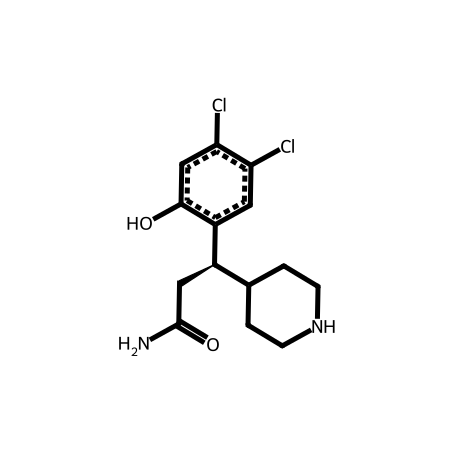 NC(=O)C[C@@H](c1cc(Cl)c(Cl)cc1O)C1CCNCC1